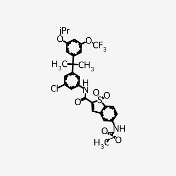 CC(C)Oc1cc(OC(F)(F)F)cc(C(C)(C)c2cc(Cl)cc(NC(=O)C3=Cc4cc(NS(C)(=O)=O)ccc4S3(=O)=O)c2)c1